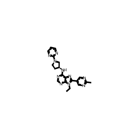 CCn1c(-c2cnc(C)nc2)nc2c(N[C@H]3CCN(c4ncccn4)C3)ncnc21